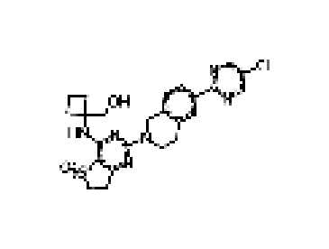 [O-][S@+]1CCc2nc(N3CCc4cc(-c5ncc(Cl)cn5)ccc4C3)nc(NC3(CO)CCC3)c21